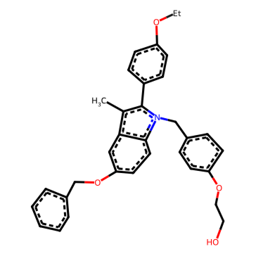 CCOc1ccc(-c2c(C)c3cc(OCc4ccccc4)ccc3n2Cc2ccc(OCCO)cc2)cc1